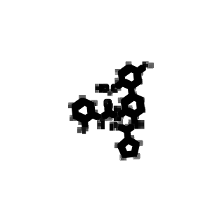 CC(C)C(Nc1ccc(-c2cc(F)ccc2C(=O)O)cc1NC(=O)Nc1ccccc1F)C1CCCC1